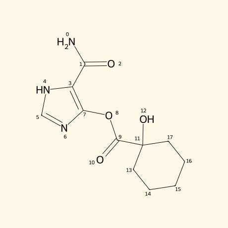 NC(=O)c1[nH]cnc1OC(=O)C1(O)CCCCC1